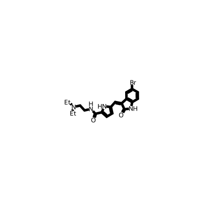 CCN(CC)CCNC(=O)c1ccc(/C=C2\C(=O)Nc3ccc(Br)cc32)[nH]1